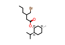 CCCC(CBr)CC(=O)O[C@@H]1C[C@H](C)CC[C@H]1C(C)C